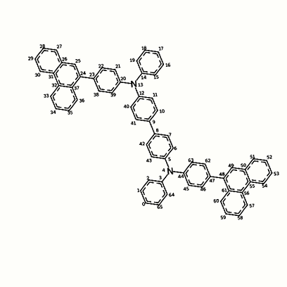 c1ccc(N(c2ccc(-c3ccc(N(c4ccccc4)c4ccc(-c5cc6ccccc6c6ccccc56)cc4)cc3)cc2)c2ccc(-c3cc4ccccc4c4ccccc34)cc2)cc1